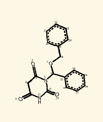 O=C1CC(=O)N(C(OCc2ccccc2)c2ccccc2)C(=O)N1